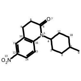 CC1CCC(N2C(=O)CCc3cc([N+](=O)[O-])ccc32)CC1